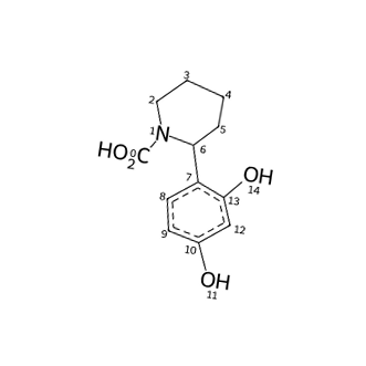 O=C(O)N1CCCCC1c1ccc(O)cc1O